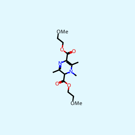 COCCOC(=O)C1=C(C)N(C)C(C(=O)OCCOC)C(C)=N1